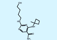 CC1(Nc2nc(NCCCCO)ncc2C(N)=O)CCC1